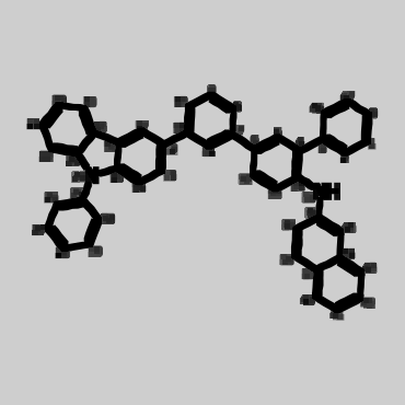 c1ccc(-c2cc(-c3cccc(-c4ccc5c(c4)c4ccccc4n5-c4ccccc4)c3)ccc2Nc2ccc3ccccc3c2)cc1